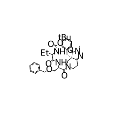 CCC(NC(=O)OC(C)(C)C)C(=O)N[C@H](COCc1ccccc1)C(=O)N1CCC2=NN(C)C(=O)[C@]2(Cc2ccccc2)C1